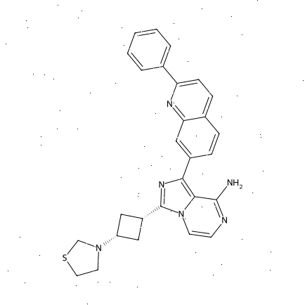 Nc1nccn2c1c(-c1ccc3ccc(-c4ccccc4)nc3c1)nc2[C@H]1C[C@@H](N2CCSC2)C1